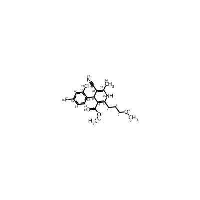 COCCCC1=C(C(=O)OC)C(c2ccc(F)cc2Cl)C(C#N)=C(C)N1